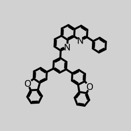 c1ccc(-c2ccc3ccc4ccc(-c5cc(-c6ccc7oc8ccccc8c7c6)cc(-c6ccc7oc8ccccc8c7c6)c5)nc4c3n2)cc1